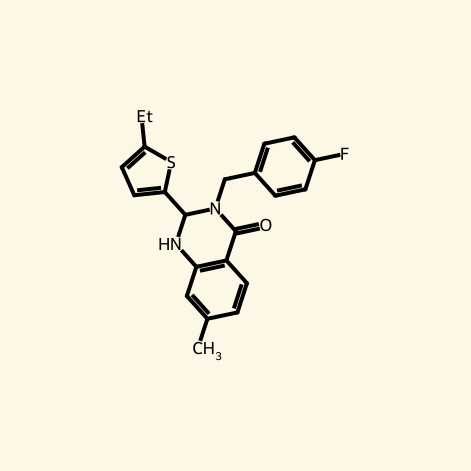 CCc1ccc(C2Nc3cc(C)ccc3C(=O)N2Cc2ccc(F)cc2)s1